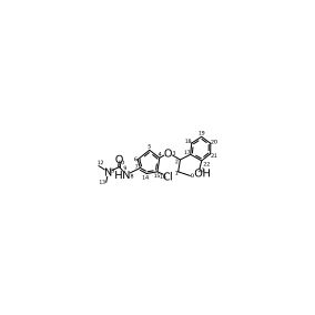 CCC(Oc1ccc(NC(=O)N(C)C)cc1Cl)c1ccccc1O